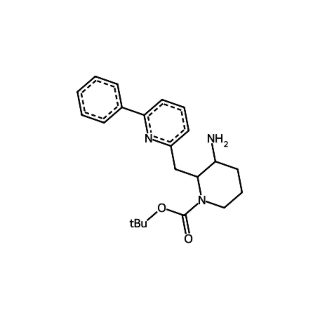 CC(C)(C)OC(=O)N1CCCC(N)C1Cc1cccc(-c2ccccc2)n1